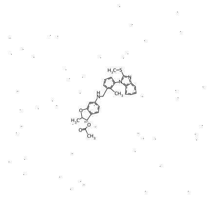 CSc1nc2ccccc2n1-c1cccc(CNc2ccc3c(c2)OC(C)[C@H]3OC(C)=O)c1C